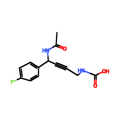 CC(=O)NC(C#CCNC(=O)O)c1ccc(F)cc1